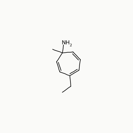 CCC1=CC=CC(C)(N)C=C1